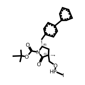 CC(C)(C)OC(=O)N1C(=O)[C@](C)(COPI)C[C@H]1Cc1ccc(-c2ccccc2)cc1